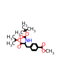 COC(=O)c1ccc(CC(NC(=O)OC(C)(C)C)C(=O)OC(C)C)cc1